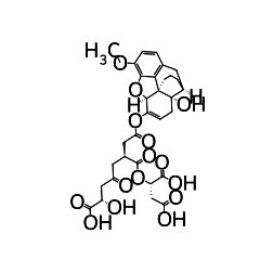 COc1ccc2c3c1O[C@@H]1C(OC(=O)C[C@H](CC(=O)C[C@H](O)C(=O)O)C(=O)O[C@@H](CC(=O)O)C(=O)O)=CC[C@]4(O)[C@@H](CCC[C@@]314)C2